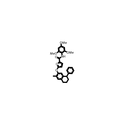 COc1cc(OC)c(NC(=O)c2ccc(Oc3cc4c(cc3C)CCCC4c3ccccc3)o2)c(OC)c1